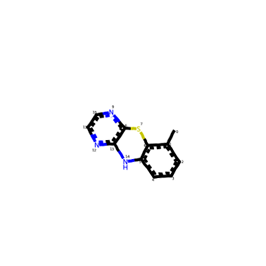 Cc1cccc2c1Sc1nccnc1N2